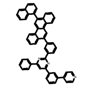 c1ccc(-c2cc(-c3cccc(-c4ccncc4)c3)nc(-c3cccc(-c4cc5c6ccccc6c(-c6cccc7ccccc67)cc5c5ccccc45)c3)n2)cc1